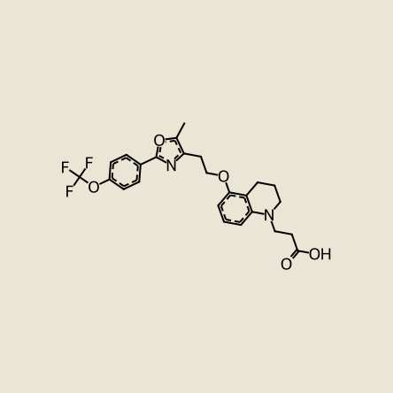 Cc1oc(-c2ccc(OC(F)(F)F)cc2)nc1CCOc1cccc2c1CCCN2CCC(=O)O